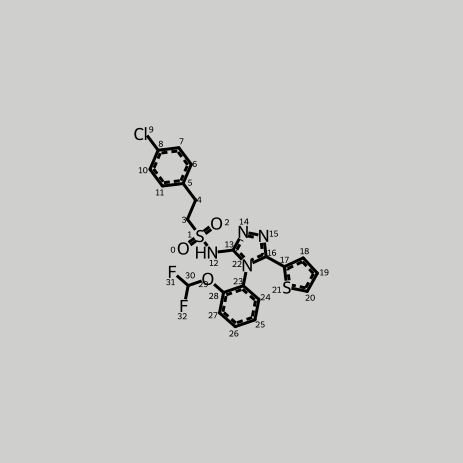 O=S(=O)(CCc1ccc(Cl)cc1)Nc1nnc(-c2cccs2)n1-c1ccccc1OC(F)F